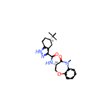 CN1C(=O)[C@@H](NC(=O)c2n[nH]c3c2C[C@@H](C(C)(C)C)CC3)COc2ccccc21